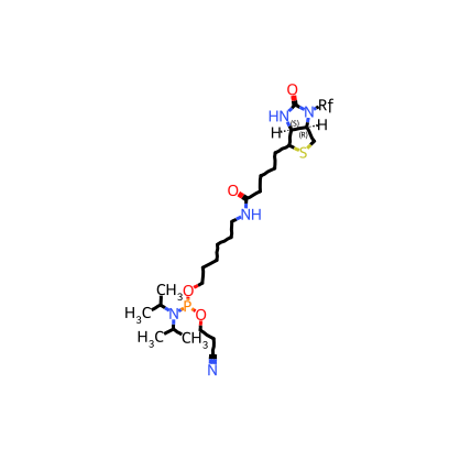 CC(C)N(C(C)C)P(OCCC#N)OCCCCCCNC(=O)CCCCC1SC[C@H]2[C@@H]1NC(=O)[N]2[Rf]